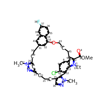 CCn1c(C(=O)OC)c2c3ccc(Cl)c(c31)-c1c(cnn1C)CCCc1cc(n(C)n1)CCc1cc(c3ccc(F)cc3c1)OCCC2